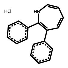 C1=CNC(c2ccccc2)=C(c2ccccc2)C=C1.Cl